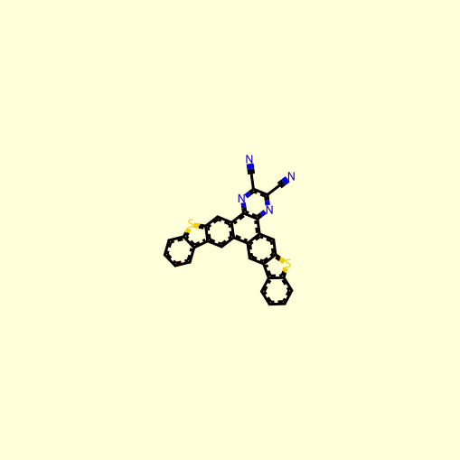 N#Cc1nc2c3cc4sc5ccccc5c4cc3c3cc4c(cc3c2nc1C#N)sc1ccccc14